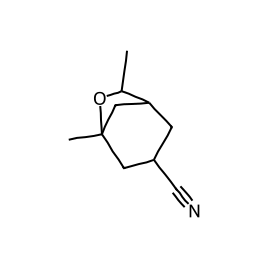 CC1OC2(C)CC(C#N)CC1C2